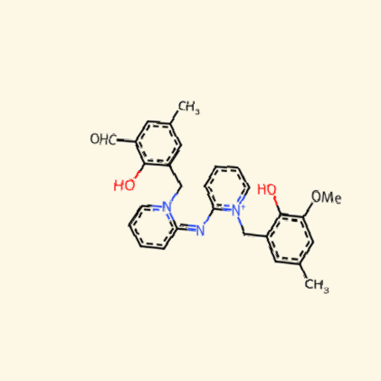 COc1cc(C)cc(C[n+]2ccccc2/N=c2/ccccn2Cc2cc(C)cc(C=O)c2O)c1O